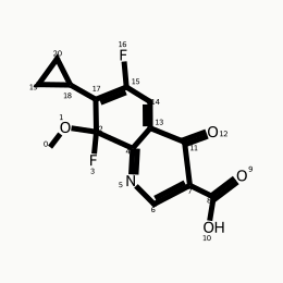 COC1(F)C2=NC=C(C(=O)O)C(=O)C2=CC(F)=C1C1CC1